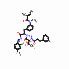 Cc1ccc(CNC(=O)C(Cc2cccc(N(C)C(=O)C(C#N)=CC(C)C)c2)NC(=O)[C@@H](NC(=O)CCc2cccc(F)c2)[C@@H](C)O)c(F)c1